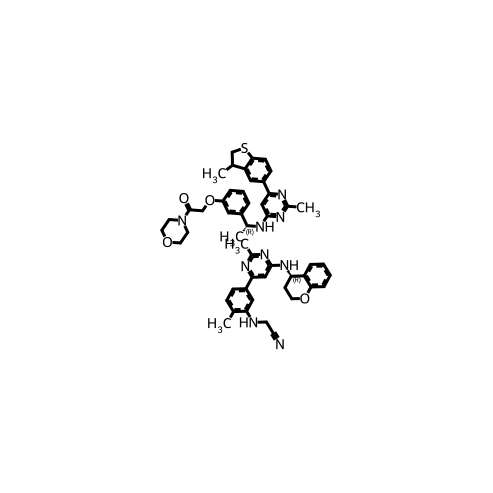 Cc1nc(N[C@@H]2CCOc3ccccc32)cc(-c2ccc(C)c(NCC#N)c2)n1.Cc1nc(N[C@H](C)c2cccc(OCC(=O)N3CCOCC3)c2)cc(-c2ccc3c(c2)C(C)CS3)n1